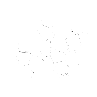 COc1ccc(Cl)cc1S(=O)(=O)N1c2cccc(=O)n2C(c2ccc(Cl)cc2)C1c1ccc(Cl)cc1